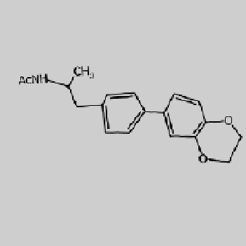 CC(=O)NC(C)Cc1ccc(-c2ccc3c(c2)OCCO3)cc1